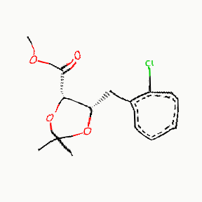 COC(=O)[C@H]1OC(C)(C)O[C@H]1Cc1ccccc1Cl